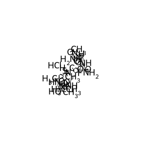 CC(=O)N1CC[C@H]2CC[C@@H](C(=O)N[C@@H](CCC(N)=O)COc3cc(C)cc(CCCCCC(=O)N[C@H](C(=O)N4C[C@H](O)C[C@H]4C(=O)N[C@@H](C)c4ccc(-c5scnc5C)cc4)C(C)(C)C)c3F)N2C(=O)[C@@H](N)C1.Cl